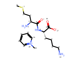 CSCC[C@H](N)C(=O)N[C@@H](CCCCN)C(=O)[O-].C[n+]1ccccc1